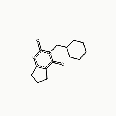 O=c1oc2c(c(=O)n1CC1CCCCC1)CCC2